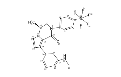 C[C@H]1CN(c2ccc(S(F)(F)(F)(F)F)cc2)C(=O)c2c(-c3ccnc(NI)c3)cnn21